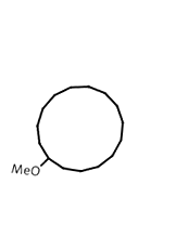 COC1CCCCCCCCCCCCCC1